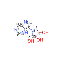 OCC1C(O)C(O)CN1c1cnc2cnc[nH]c1-2